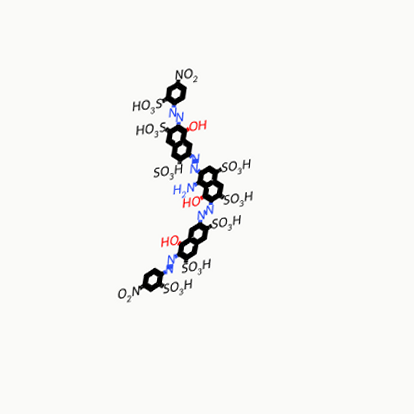 Nc1c(N=Nc2cc3c(O)c(N=Nc4ccc([N+](=O)[O-])cc4S(=O)(=O)O)c(S(=O)(=O)O)cc3cc2S(=O)(=O)O)cc(S(=O)(=O)O)c2cc(S(=O)(=O)O)c(N=Nc3cc4c(O)c(N=Nc5ccc([N+](=O)[O-])cc5S(=O)(=O)O)c(S(=O)(=O)O)cc4cc3S(=O)(=O)O)c(O)c12